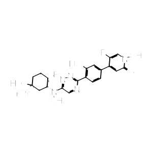 CCC[C@]1(C)CC[C@H](F)[C@H](N(C)c2cnc(-c3ccc(-c4cc(=O)n(C)cc4F)cc3O)nn2)C1